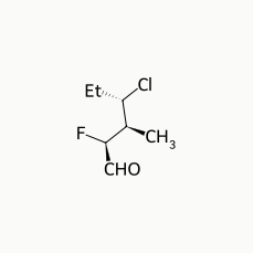 CC[C@H](Cl)[C@@H](C)[C@H](F)C=O